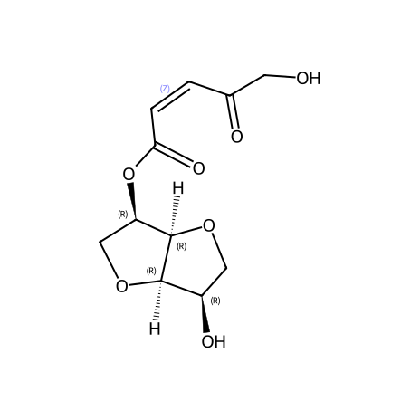 O=C(/C=C\C(=O)O[C@@H]1CO[C@H]2[C@@H]1OC[C@H]2O)CO